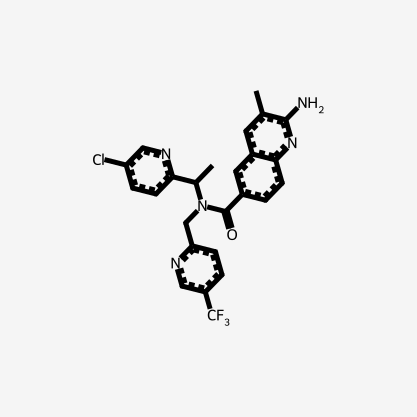 Cc1cc2cc(C(=O)N(Cc3ccc(C(F)(F)F)cn3)C(C)c3ccc(Cl)cn3)ccc2nc1N